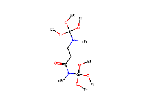 CCCN(CCC(=O)N(CCC)[Si](OCC)(OCC)OCC)[Si](OCC)(OCC)OCC